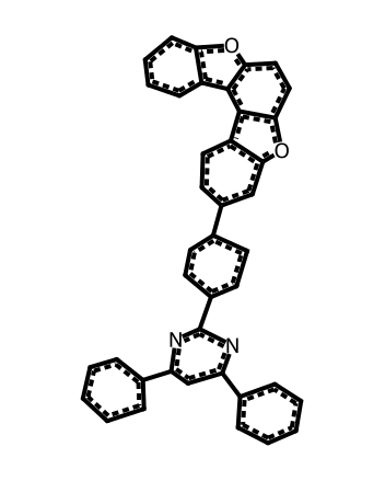 c1ccc(-c2cc(-c3ccccc3)nc(-c3ccc(-c4ccc5c(c4)oc4ccc6oc7ccccc7c6c45)cc3)n2)cc1